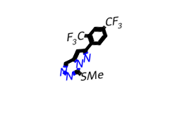 CSc1nncc2cc(-c3ccc(C(F)(F)F)cc3C(F)(F)F)nn12